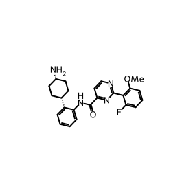 COc1cccc(F)c1-c1nccc(C(=O)Nc2ccccc2[C@H]2CC[C@@H](N)CC2)n1